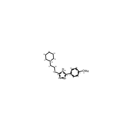 COc1ccc(-c2nnc(SCCN3CCCCC3)[nH]2)cc1